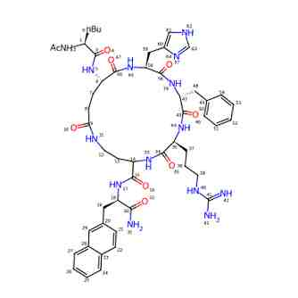 CCCC[C@H](NC(C)=O)C(=O)N[C@H]1CCC(=O)NCCC(C(=O)N[C@H](Cc2ccc3ccccc3c2)C(N)=O)NC(=O)[C@H](CCCNC(=N)N)NC(=O)[C@@H](Cc2ccccc2)NC(=O)[C@H](Cc2c[nH]cn2)NC1=O